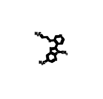 C=CCSc1cnccc1-c1nc2cc(C)cnc2n1C